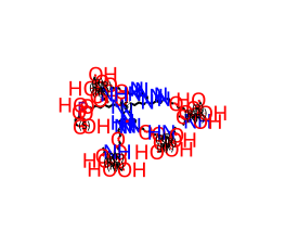 COC(C)N[C@H]1[C@H](OCCOCCn2cc(CN(CCCC[C@@H](C(=O)NCCCCCCOP(=O)(O)OC3CCO[C@H](O)C3)N(Cc3cn(CCOCCO[C@@H]4O[C@H](CO)[C@H](O)[C@H](O)[C@H]4NC(C)=O)nn3)Cc3cn(CCOCCO[C@@H]4O[C@H](CO)[C@H](O)[C@H](O)[C@H]4NC(C)=O)nn3)Cc3cn(CCOCCO[C@@H]4O[C@H](CO)[C@H](O)[C@H](O)[C@H]4NC(C)=O)nn3)nn2)O[C@H](CO)[C@H](O)[C@@H]1O